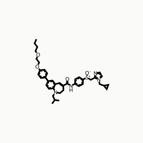 CCCCOCCOc1ccc(-c2ccc3c(c2)C=C(C(=O)Nc2ccc([S+]([O-])Cc4nccn4CC4CC4)cc2)CCN3CC(C)C)cc1